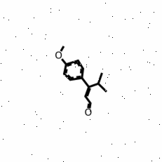 COc1ccc(/C(=C/C=O)C(C)C)cc1